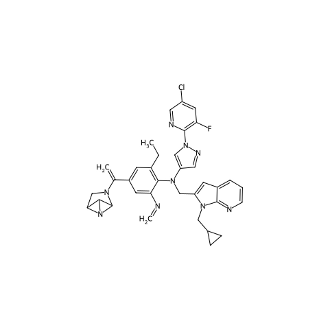 C=Nc1cc(C(=C)N2CC3C4C2N34)cc(CC)c1N(Cc1cc2cccnc2n1CC1CC1)c1cnn(-c2ncc(Cl)cc2F)c1